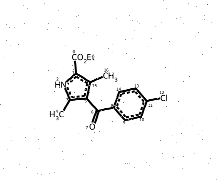 CCOC(=O)c1[nH]c(C)c(C(=O)c2ccc(Cl)cc2)c1C